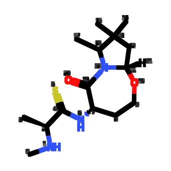 CN[C@@H](C)C(=S)N[C@H]1CCO[C@H]2CC(C)(C)C(C)N2C1=O